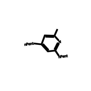 CCCCCc1cc(C)nc(CCCCC)c1